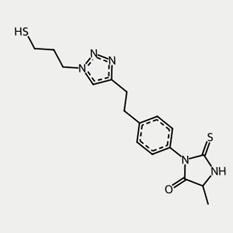 CC1NC(=S)N(c2ccc(CCc3cn(CCCS)nn3)cc2)C1=O